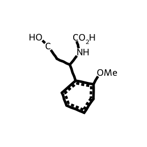 COc1ccccc1C(CCO)NC(=O)O